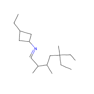 CCC1CC(/N=C/C(C)C(C)CC(C)(CC)CC)C1